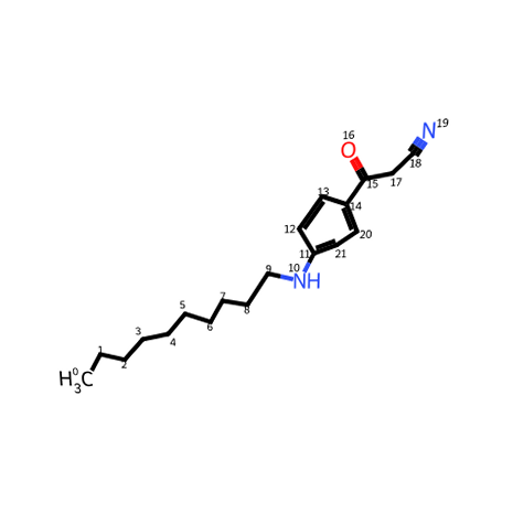 CCCCCCCCCCNc1ccc(C(=O)CC#N)cc1